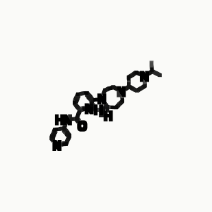 [2H]C1([2H])CCN(C2CCN(C(C)C)CC2)CCN1c1cccc(C(=O)Nc2ccncc2)n1